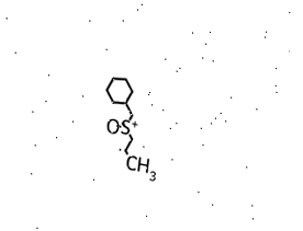 C[CH]C[S+]([O-])CC1CCCCC1